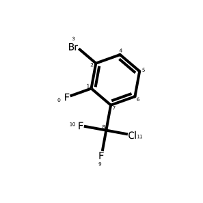 Fc1c(Br)cccc1C(F)(F)Cl